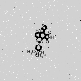 CN(C)C1(C)CCN(c2nc(C3=C(c4c[nH]c5sccc45)C(=O)NC3=O)c3ccccc3n2)CC1